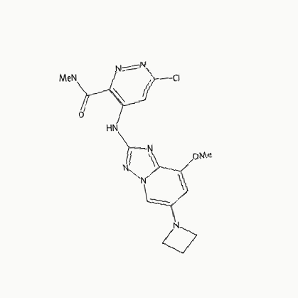 CNC(=O)c1nnc(Cl)cc1Nc1nc2c(OC)cc(N3CCC3)cn2n1